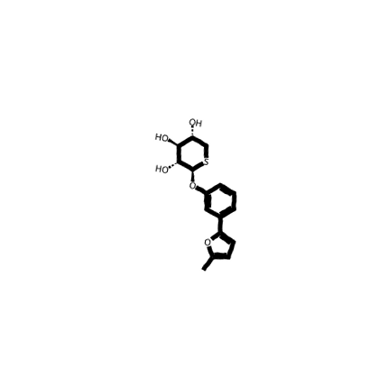 Cc1ccc(-c2cccc(O[C@@H]3SC[C@@H](O)[C@H](O)[C@H]3O)c2)o1